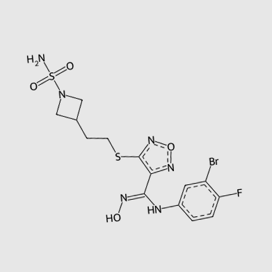 NS(=O)(=O)N1CC(CCSc2nonc2/C(=N/O)Nc2ccc(F)c(Br)c2)C1